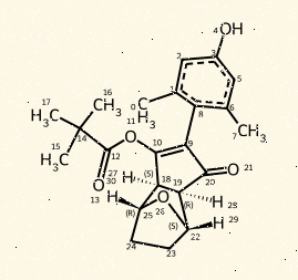 Cc1cc(O)cc(C)c1C1=C(OC(=O)C(C)(C)C)[C@H]2[C@@H](C1=O)[C@@H]1CC[C@H]2O1